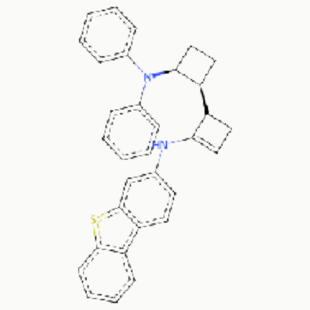 C1=C(Nc2ccc3c(c2)sc2ccccc23)C([C@@H]2CC[C@@H]2N(c2ccccc2)c2ccccc2)C1